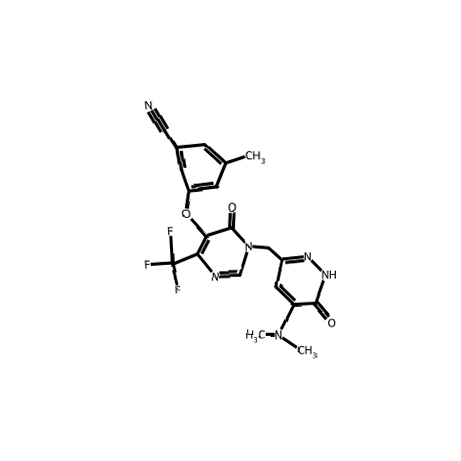 Cc1cc(C#N)cc(Oc2c(C(F)(F)F)ncn(Cc3cc(N(C)C)c(=O)[nH]n3)c2=O)c1